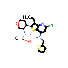 C=Cc1c([C@@H]2CCOC[C@H]2N)sc2c(NCc3cccs3)cc(Cl)nc12.O=CO